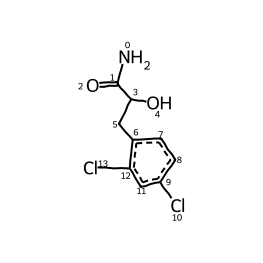 NC(=O)C(O)Cc1ccc(Cl)cc1Cl